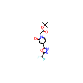 CC(C)(C)OC(=O)Cn1ccc(-c2nnc(C(F)F)o2)cc1=O